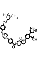 COc1cc(N2CCC3(CCN(C(=O)c4ccc(N5CCN(Cc6ccc(OCCCN(C)C)cc6)CC5)cc4)CC3)C2=O)ccc1/C(C=N)=C/N